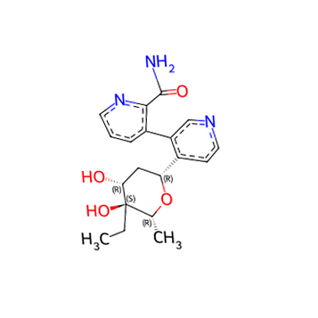 CC[C@]1(O)[C@H](O)C[C@H](c2ccncc2-c2cccnc2C(N)=O)O[C@@H]1C